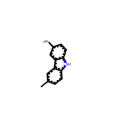 CCCc1ccc2[nH]c3ccc(C)cc3c2c1